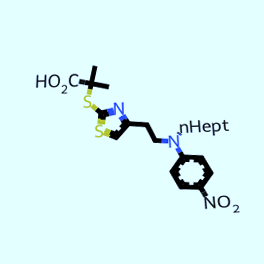 CCCCCCCN(CCc1csc(SC(C)(C)C(=O)O)n1)c1ccc([N+](=O)[O-])cc1